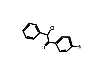 O=C(c1ccc(Br)cc1)C(Cl)c1ccccc1